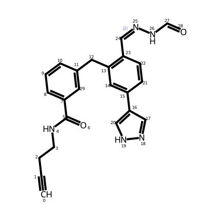 C#CCCNC(=O)c1cccc(Cc2cc(-c3cn[nH]c3)ccc2/C=N\NC=O)c1